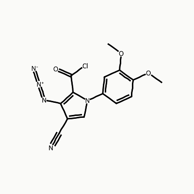 COc1ccc(-n2cc(C#N)c(N=[N+]=[N-])c2C(=O)Cl)cc1OC